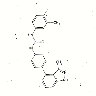 Cc1cc(NC(=O)Nc2ccc(-c3cccc4[nH]nc(C)c34)cc2)ccc1F